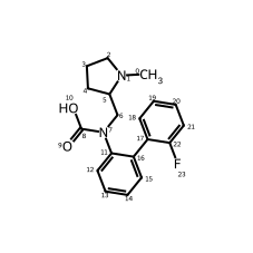 CN1CCCC1CN(C(=O)O)c1ccccc1-c1ccccc1F